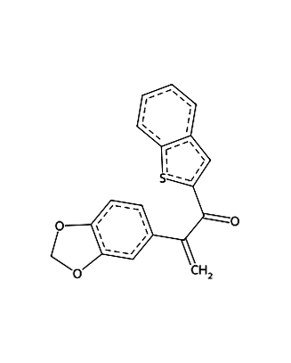 C=C(C(=O)c1cc2ccccc2s1)c1ccc2c(c1)OCO2